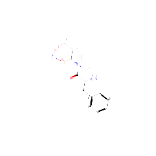 Cl.N[C@@H](Cc1ccccc1)C(=O)NC1CCONO1